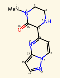 CNN1CCNC(c2ccn3nccc3n2)C1=O